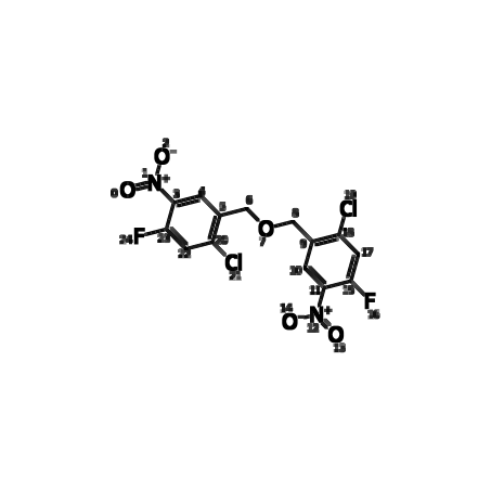 O=[N+]([O-])c1cc(COCc2cc([N+](=O)[O-])c(F)cc2Cl)c(Cl)cc1F